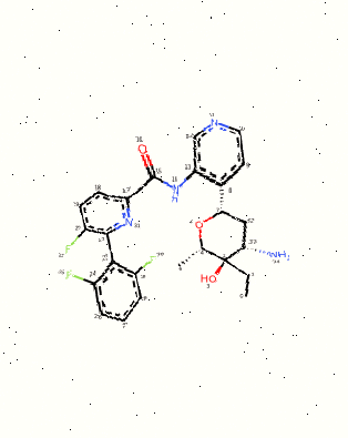 CC[C@]1(O)[C@H](C)O[C@H](c2ccncc2NC(=O)c2ccc(F)c(-c3c(F)cccc3F)n2)C[C@@H]1N